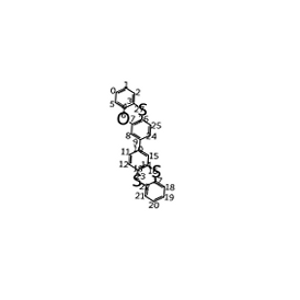 c1ccc2c(c1)Oc1cc(-c3ccc4c(c3)Sc3ccccc3S4)ccc1S2